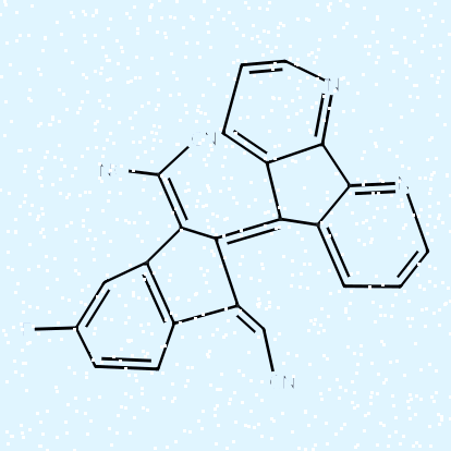 N#C/C=C1/C(=C2c3cccnc3-c3ncccc32)C(=C(C#N)C#N)c2cc(F)ccc21